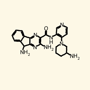 Nc1nc2c(nc1C(=O)Nc1cnccc1N1CCCC(N)C1)-c1ccccc1C2N